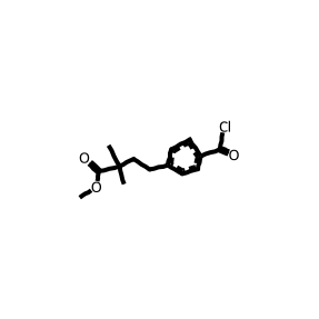 COC(=O)C(C)(C)CCc1ccc(C(=O)Cl)cc1